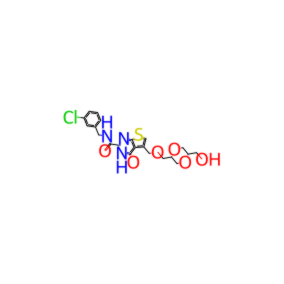 O=C(NCc1cccc(Cl)c1)c1nc2scc(COCC3COC(CO)CO3)c2c(=O)[nH]1